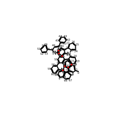 Cc1ccc2c(c1)c1ccccc1n2-c1c(-c2ccccc2-n2c3ccccc3c3ccccc32)cc(-c2nc(-c3ccccc3)cc(-c3ccccc3)n2)cc1-c1ccccc1-n1c2ccccc2c2ccccc21